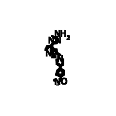 CN(C)C(=O)c1ccc(C2CCN(Cc3cc4c(-c5cnc(N)cn5)ccnc4n3C)CC2)cc1